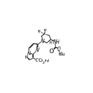 CC(C)(C)OC(=O)N[C@H]1CN(c2ccn3ncc(C(=O)O)c3n2)CC(F)(F)C1